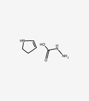 C1=CNCC1.NNC(=O)O